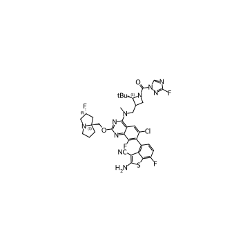 CN(CC1CN(C(=O)n2cnc(F)n2)[C@@H]1C(C)(C)C)c1nc(OC[C@@]23CCCN2C[C@H](F)C3)nc2c(F)c(-c3ccc(F)c4sc(N)c(C#N)c34)c(Cl)cc12